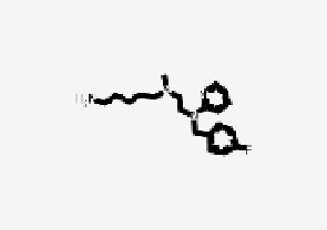 CN(CCCCCN)CCN(Cc1ccc(F)cc1)c1ccccn1